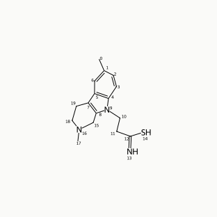 Cc1ccc2c(c1)c1c(n2CCC(=N)S)CN(C)CC1